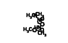 Cc1ccc(C(C)C(=O)Nc2cccc3c(=O)n(CCN(C)C)ccc23)cc1